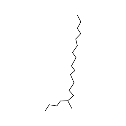 CCCCCCCCCCCCCCC(C)CCCC